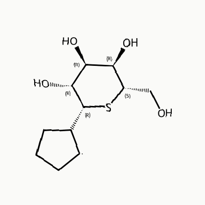 OC[C@@H]1S[C@H](C2[CH]CCC2)[C@H](O)[C@@H](O)[C@H]1O